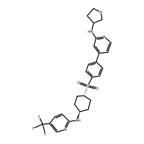 O=S(=O)(c1ccc(-c2ccnc(NC3CCOC3)c2)cc1)[C@H]1CC[C@H](Nc2ccc(C(F)(F)F)cn2)CC1